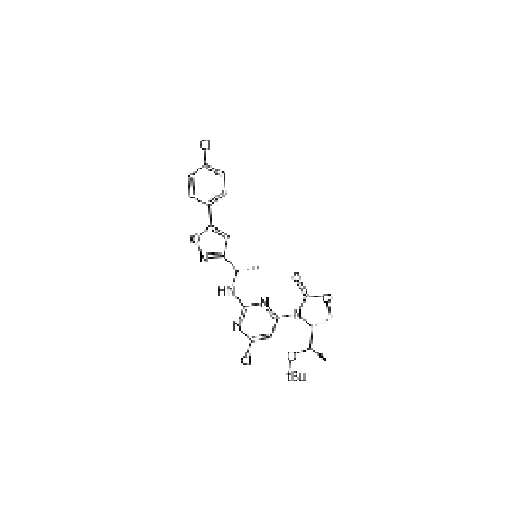 C[C@H](Nc1nc(Cl)cc(N2C(=O)OC[C@@H]2[C@@H](C)OC(C)(C)C)n1)c1cc(-c2ccc(Cl)cc2)on1